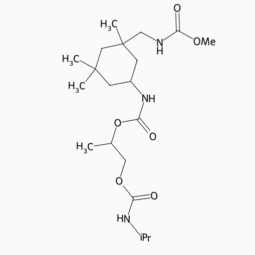 COC(=O)NCC1(C)CC(NC(=O)OC(C)COC(=O)NC(C)C)CC(C)(C)C1